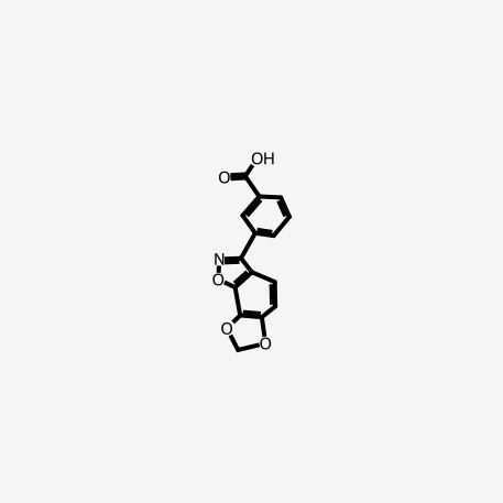 O=C(O)c1cccc(-c2noc3c4c(ccc23)OCO4)c1